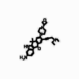 CCN(CC)CC#Cc1cc2c(cc1N1CCN(C3COC3)CC1)C(C)(C)c1[nH]c3cc(N)ccc3c1C2=O